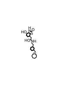 O=c1[nH]c2c(O)ccc(CC(O)NCCc3cccc(CN4CCCCCC4)c3)c2s1